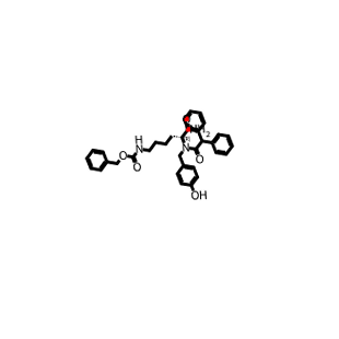 NC(=O)[C@@H](CCCCNC(=O)OCc1ccccc1)N(Cc1ccc(O)cc1)C(=O)C(c1ccccc1)c1ccccc1